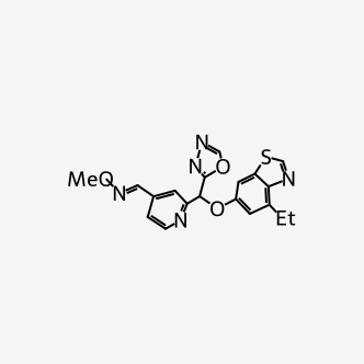 CCc1cc(OC(c2cc(/C=N/OC)ccn2)c2nnco2)cc2scnc12